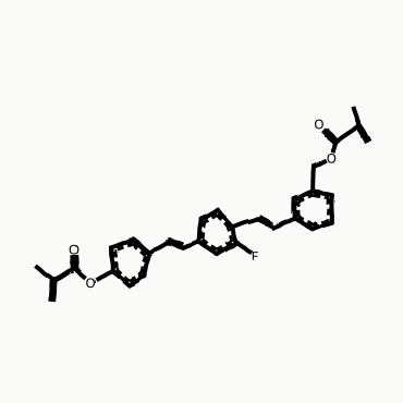 C=C(C)C(=O)OCc1cccc(/C=C/c2ccc(/C=C/c3ccc(OC(=O)C(=C)C)cc3)cc2F)c1